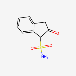 NS(=O)(=O)C1C(=O)Cc2ccccc21